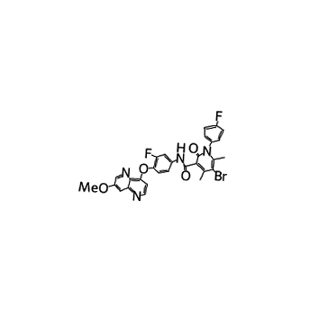 COc1cnc2c(Oc3ccc(NC(=O)c4c(C)c(Br)c(C)n(-c5ccc(F)cc5)c4=O)cc3F)ccnc2c1